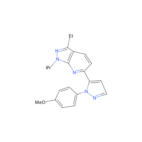 CCc1nn(C(C)C)c2nc(-c3ccnn3-c3ccc(OC)cc3)ccc12